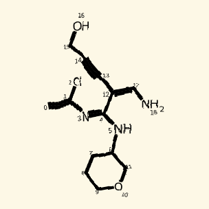 C=C(Cl)/N=C(NC1CCCOC1)\C(C#CCO)=C/N